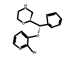 CC(C)c1ncccc1O[C@@H](c1ccccc1)[C@@H]1CNCCO1